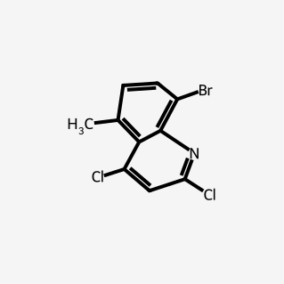 Cc1ccc(Br)c2nc(Cl)cc(Cl)c12